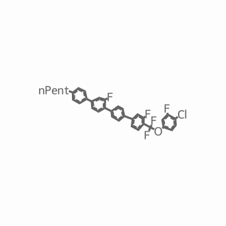 CCCCCc1ccc(-c2ccc(-c3ccc(-c4ccc(C(F)(F)Oc5ccc(Cl)c(F)c5)c(F)c4)cc3)c(F)c2)cc1